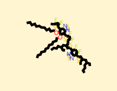 C=CC(CCCC)Cc1cc(-c2c(F)c(F)c(-c3cc(CC(CC)CCCC)c(C)s3)c3nsnc23)sc1-c1sc(-c2c(OCCCCCCCCCCCC)c(OCCCCCCCCCCCC)c(-c3sc(C)c(F)c3F)c3nsnc23)c(F)c1F